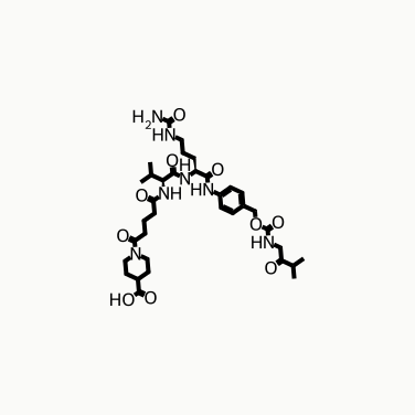 CC(C)C(=O)CNC(=O)OCc1ccc(NC(=O)[C@H](CCCNC(N)=O)NC(=O)[C@@H](NC(=O)CCCC(=O)N2CCC(C(=O)O)CC2)C(C)C)cc1